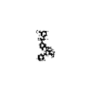 Cc1ccc(C(=O)Nc2cccc(Cl)c2)cc1Nc1nc(-c2cccnc2)nc2c1cnn2C